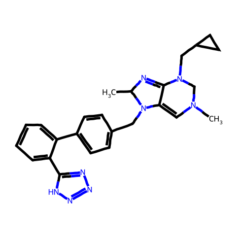 CC1N=C2C(=CN(C)CN2CC2CC2)N1Cc1ccc(-c2ccccc2-c2nnn[nH]2)cc1